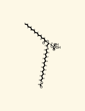 CCCCCCCCCCCCC(=O)O[C@H](COP(=O)(O)O)CSCCCCCCCCCCCCCCCOC=O